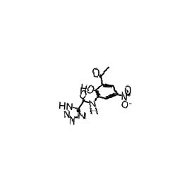 CC(=O)c1cc([N+](=O)[O-])cc(NC(=O)c2nnn[nH]2)c1O